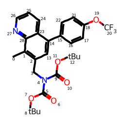 Cc1c(CN(C(=O)OC(C)(C)C)C(=O)OC(C)(C)C)cc(-c2ccc(OC(F)(F)F)cc2)c2cccnc12